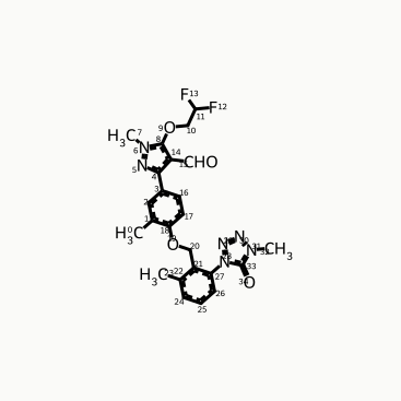 Cc1cc(-c2nn(C)c(OCC(F)F)c2C=O)ccc1OCc1c(C)cccc1-n1nnn(C)c1=O